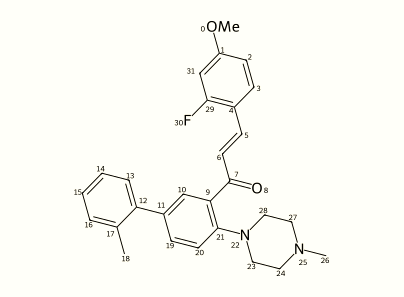 COc1ccc(/C=C/C(=O)c2cc(-c3ccccc3C)ccc2N2CCN(C)CC2)c(F)c1